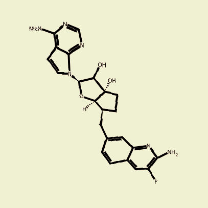 CNc1ncnc2c1ccn2[C@@H]1O[C@@H]2[C@H](Cc3ccc4cc(F)c(N)nc4c3)CC[C@]2(O)C1O